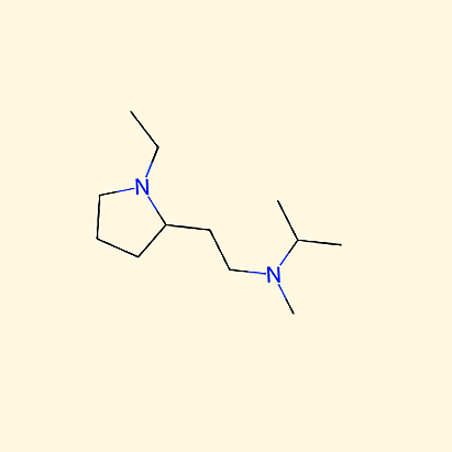 CCN1CCCC1CCN(C)C(C)C